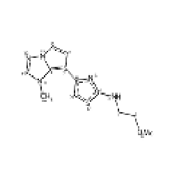 COCCNc1nc(S2=C3N(C)C=NN3C=C2)cs1